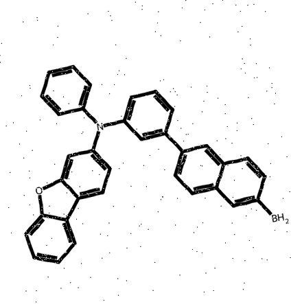 Bc1ccc2cc(-c3cccc(N(c4ccccc4)c4ccc5c(c4)oc4ccccc45)c3)ccc2c1